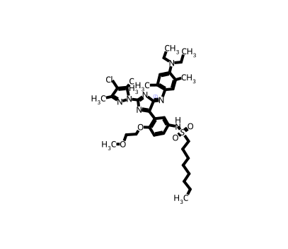 CCCCCCCCS(=O)(=O)Nc1ccc(OCCOC)c(C2=NC(n3nc(C)c(Cl)c3C)=N/C2=N\c2cc(C)c(N(CC)CC)cc2C)c1